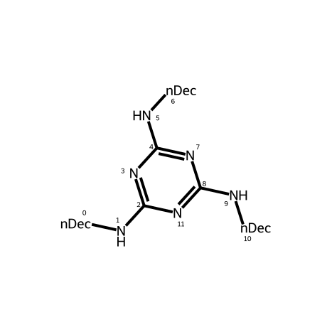 CCCCCCCCCCNc1nc(NCCCCCCCCCC)nc(NCCCCCCCCCC)n1